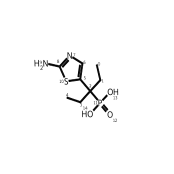 CCC(CC)(c1cnc(N)s1)P(=O)(O)O